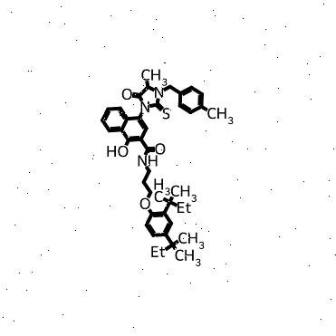 CCC(C)(C)c1ccc(OCCCNC(=O)c2cc(N3C(=O)C(C)N(Cc4ccc(C)cc4)C3=S)c3ccccc3c2O)c(C(C)(C)CC)c1